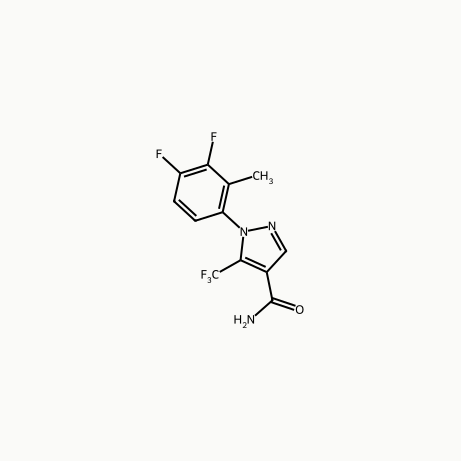 Cc1c(-n2ncc(C(N)=O)c2C(F)(F)F)ccc(F)c1F